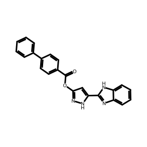 O=C(Oc1cc(-c2nc3ccccc3[nH]2)[nH]n1)c1ccc(-c2ccccc2)cc1